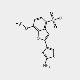 COc1ccc(S(=O)(=O)O)c2cc(-c3csc(N)n3)oc12